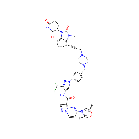 Cn1c(=O)n(C2CCC(=O)NC2=O)c2cccc(C#CCN3CCN(Cc4ccc(-n5cc(NC(=O)c6cnn7ccc(N8C[C@H]9C[C@@H]8CO9)nc67)c(C(F)F)n5)cc4)CC3)c21